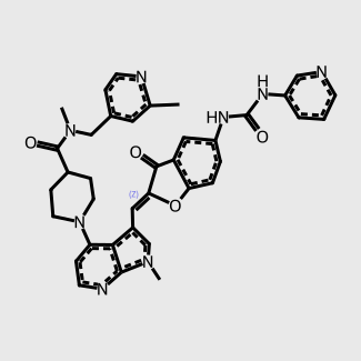 Cc1cc(CN(C)C(=O)C2CCN(c3ccnc4c3c(/C=C3\Oc5ccc(NC(=O)Nc6cccnc6)cc5C3=O)cn4C)CC2)ccn1